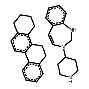 C1=CN(C2CCNCC2)CNc2ccccc21.c1ccc2c(c1)CCc1c-2ccc2c1CCCC2